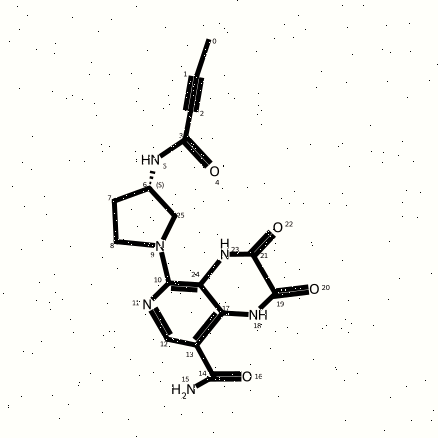 CC#CC(=O)N[C@H]1CCN(c2ncc(C(N)=O)c3[nH]c(=O)c(=O)[nH]c23)C1